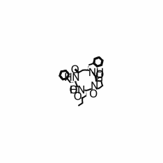 CCC(=O)C[C@@H]1NC(=O)[C@H](Cc2ccccc2)NC(=O)C[C@H](Cc2ccccc2)NC(=O)[C@@H]2CCCN2C1=O